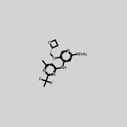 CC(=O)Nc1cc(Nc2cc(C)nc(C(C)(F)F)n2)c(OC[C@H]2CCO2)cn1